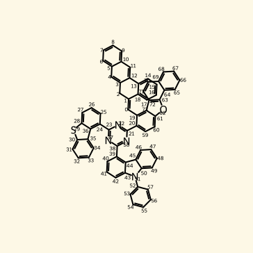 C(=C1\Cc2cc3ccccc3cc2-c2ccccc21)/c1c(-c2nc(-c3cccc4sc5ccccc5c34)nc(-c3cccc4c3c3ccccc3n4-c3ccccc3)n2)ccc2oc3c4ccccc4ccc3c12